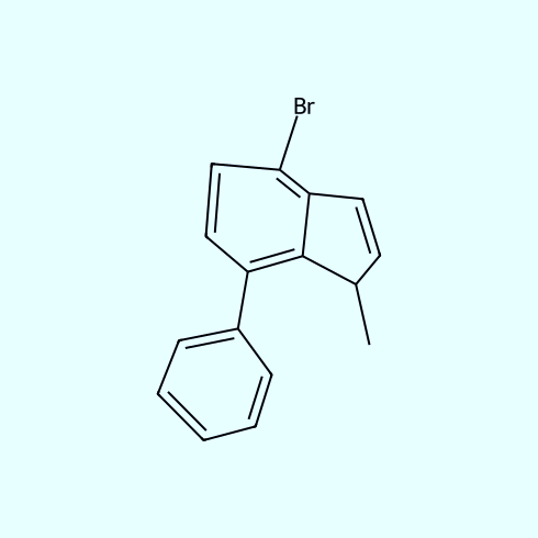 CC1C=Cc2c(Br)ccc(-c3ccccc3)c21